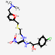 CN(C)Cc1ccc(CSCCNC(=C[N+](=O)[O-])NCC(O)c2ccc(Cl)cc2)o1